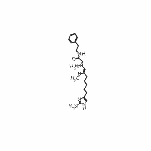 C=N/C(=C\N(N)CC(=O)NCCc1ccccc1)CCCCCc1c[nH]c(N)n1